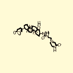 C[C@]12CC[C@H](NC(=O)NCCN3CCNC(=O)C3)C[C@@]1(O)CC[C@@H]1[C@@H]2CC[C@]2(C)[C@@H](c3ccc(=O)oc3)CC[C@]12O